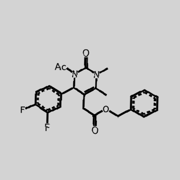 CC(=O)N1C(=O)N(C)C(C)=C(CC(=O)OCc2ccccc2)C1c1ccc(F)c(F)c1